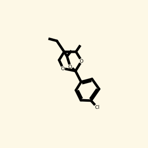 CCC12COC(c3ccc(Cl)cc3)(OC1C)OC2C